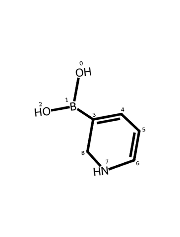 OB(O)C1=CC=CNC1